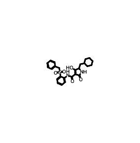 O=C(Nc1ccccc1S(=O)(=O)Cc1ccccc1)C1=C(O)C(CC2CCCCC2)NC1=O